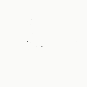 N#Cc1ccc([C@@H]2[C@@H]3C(=O)N(Cc4ccccc4)C(=O)[C@@H]3[C@H]3C[C@H](O)CN32)cc1